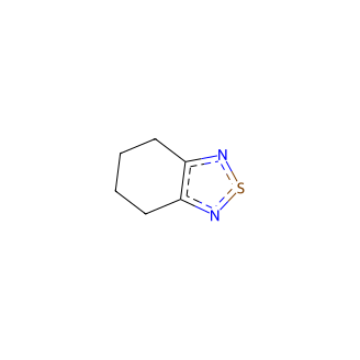 C1CCc2nsnc2C1